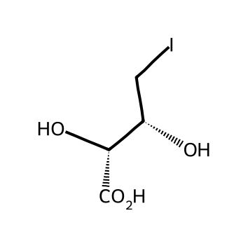 O=C(O)[C@H](O)[C@@H](O)CI